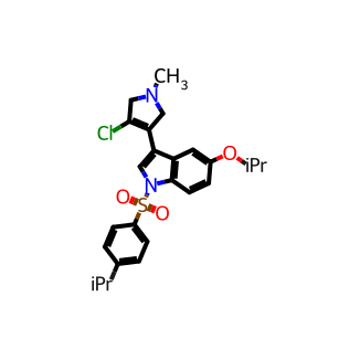 CC(C)Oc1ccc2c(c1)c(C1=C(Cl)CN(C)C1)cn2S(=O)(=O)c1ccc(C(C)C)cc1